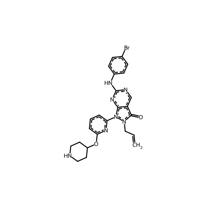 C=CCn1c(=O)c2cnc(Nc3ccc(Br)cc3)nc2n1-c1cccc(OC2CCNCC2)n1